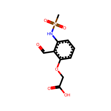 CS(=O)(=O)Nc1cccc(OCC(=O)O)c1C=O